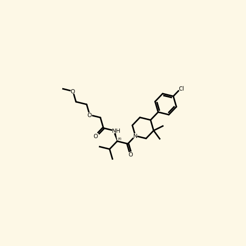 COCCOCC(=O)N[C@@H](C(=O)N1CCC(c2ccc(Cl)cc2)C(C)(C)C1)C(C)C